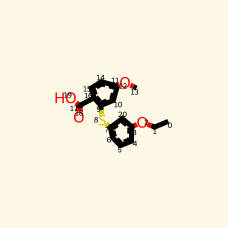 CCOc1cccc(Sc2cc(OC)ccc2C(=O)O)c1